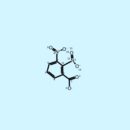 [O]C(=O)c1cccc([N+](=O)[O-])c1[N+](=O)[O-]